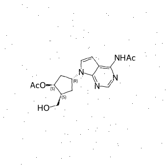 CC(=O)Nc1ncnc2c1ccn2[C@@H]1C[C@@H](CO)[C@@H](OC(C)=O)C1